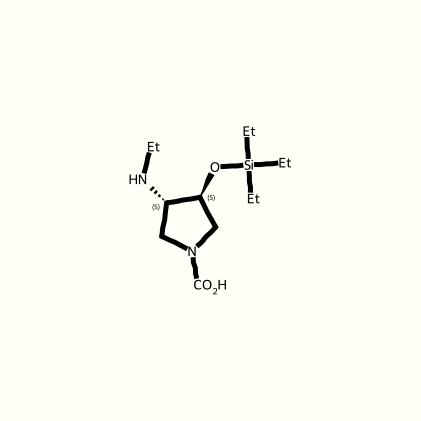 CCN[C@H]1CN(C(=O)O)C[C@@H]1O[Si](CC)(CC)CC